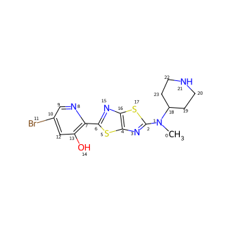 CN(c1nc2sc(-c3ncc(Br)cc3O)nc2s1)C1CCNCC1